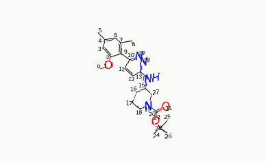 COc1cc(C)cc(C)c1-c1ccc(N[C@@H]2CCCN(C(=O)OC(C)(C)C)C2)nn1